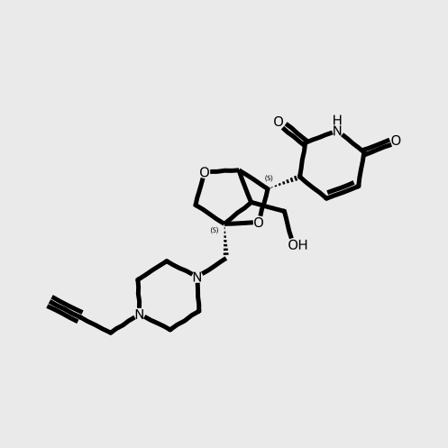 C#CCN1CCN(C[C@]23COC(C2CO)[C@H](C2C=CC(=O)NC2=O)O3)CC1